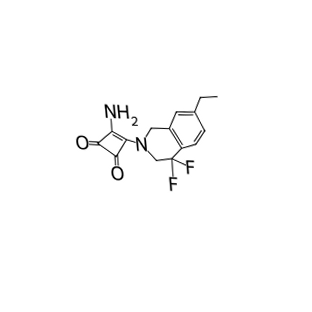 CCc1ccc2c(c1)CN(c1c(N)c(=O)c1=O)CC2(F)F